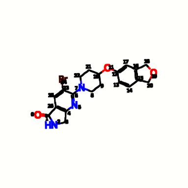 O=C1NCc2nc(N3CCC(Oc4ccc5c(c4)COC5)CC3)c(Br)cc21